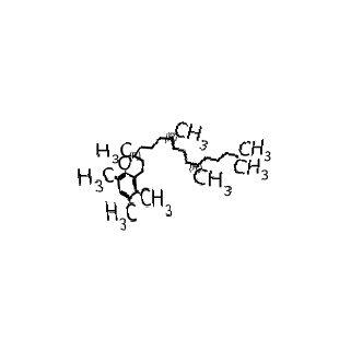 Cc1cc(C)c2c(c1C)CC[C@@](C)(CCC[C@H](C)CCC[C@H](C)CCCC(C)C)O2